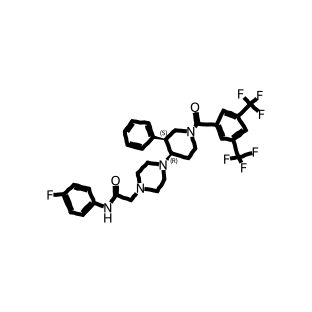 O=C(CN1CCN([C@@H]2CCN(C(=O)c3cc(C(F)(F)F)cc(C(F)(F)F)c3)C[C@@H]2c2ccccc2)CC1)Nc1ccc(F)cc1